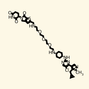 Cn1ncc(-c2nc(N[C@H]3CC[C@H](NCCOCCOCCOCCNCc4cc5c(s4)C(=O)N(C4CCC(=O)NC4=O)C5)CC3)ncc2Cl)c1CC1CC1